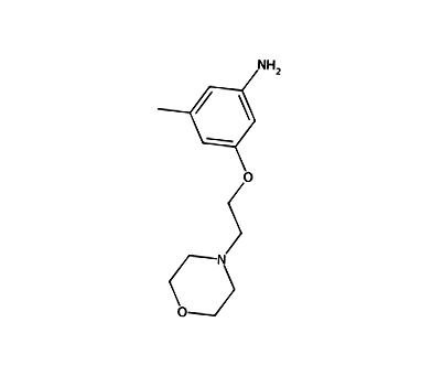 Cc1cc(N)cc(OCCN2CCOCC2)c1